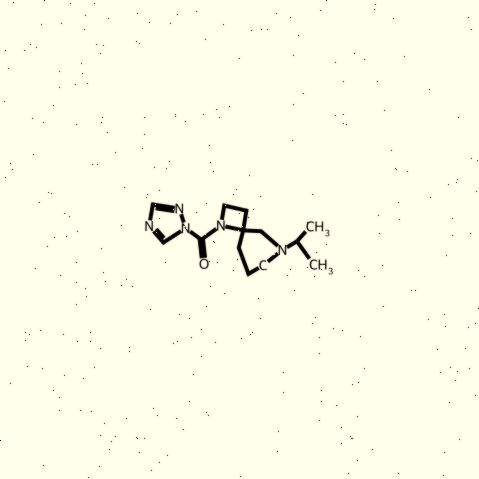 CC(C)N1CCCC2(CCN2C(=O)n2cncn2)C1